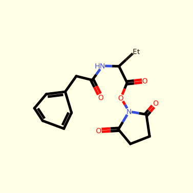 CCC(NC(=O)Cc1ccccc1)C(=O)ON1C(=O)CCC1=O